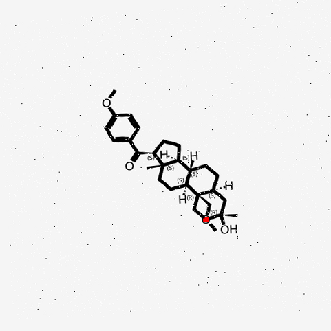 COC[C@]12CC[C@@](C)(O)C[C@@H]1CC[C@H]1[C@@H]3CC[C@H](C(=O)c4ccc(OC)cc4)[C@@]3(C)CC[C@@H]12